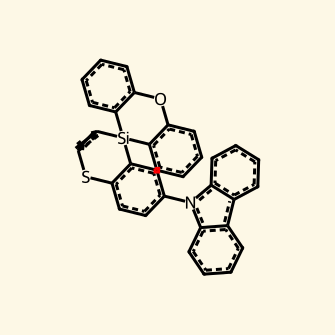 c1ccc2c(c1)Oc1ccccc1[Si]21c2ccccc2Sc2ccc(-n3c4ccccc4c4ccccc43)cc21